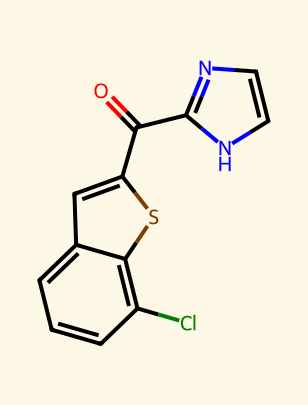 O=C(c1ncc[nH]1)c1cc2cccc(Cl)c2s1